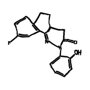 O=C1CC2CCc3ccc(F)cc3C2=NN1c1ccccc1O